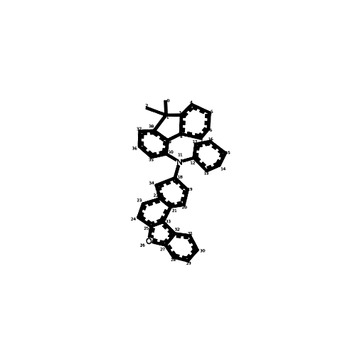 CC1(C)c2ccccc2-c2c(N(c3ccccc3)c3ccc4c(ccc5oc6ccccc6c54)c3)cccc21